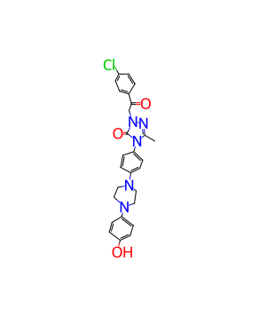 Cc1nn(CC(=O)c2ccc(Cl)cc2)c(=O)n1-c1ccc(N2CCN(c3ccc(O)cc3)CC2)cc1